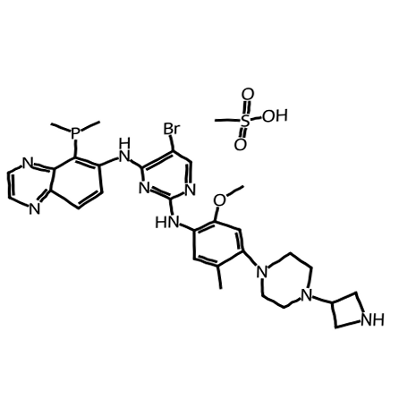 COc1cc(N2CCN(C3CNC3)CC2)c(C)cc1Nc1ncc(Br)c(Nc2ccc3nccnc3c2P(C)C)n1.CS(=O)(=O)O